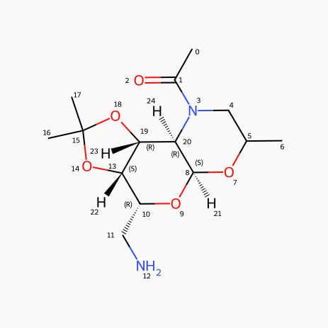 CC(=O)N1CC(C)O[C@H]2O[C@H](CN)[C@@H]3OC(C)(C)O[C@@H]3[C@H]21